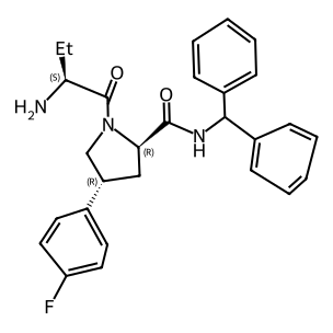 CC[C@H](N)C(=O)N1C[C@@H](c2ccc(F)cc2)C[C@@H]1C(=O)NC(c1ccccc1)c1ccccc1